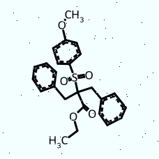 CCOC(=O)C(Cc1ccccc1)(Cc1ccccc1)S(=O)(=O)c1ccc(OC)cc1